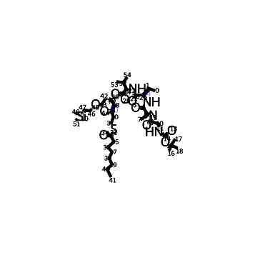 C/C=C(\NC(=O)c1coc(CNC(=O)OC(C)(C)C)n1)C(=O)N[C@H](C(=O)O[C@H](/C=C/CCSC(=O)CCCCCCC)CC(=O)OCC[Si](C)(C)C)C(C)C